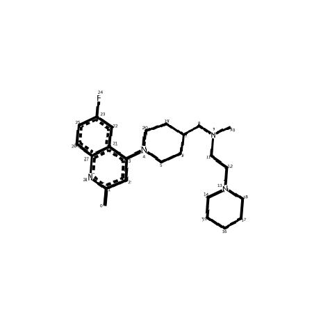 Cc1cc(N2CCC(CN(C)CCN3CCCCC3)CC2)c2cc(F)ccc2n1